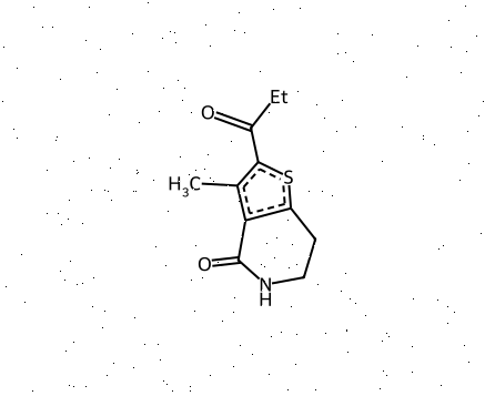 CCC(=O)c1sc2c(c1C)C(=O)NCC2